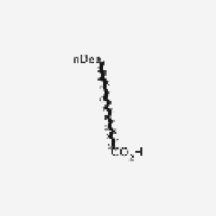 CCCCCCCCCCCCCC=CCC=CCCCCCCCCCCC(=O)O